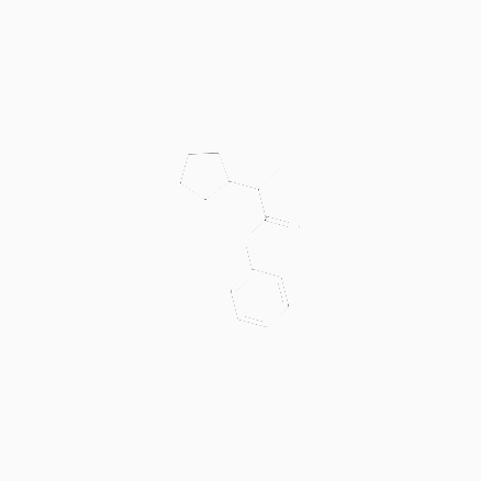 CC(C(=O)Oc1ccccc1)C1CCCC1